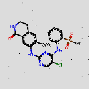 COc1cc2c(cc1Nc1ncc(Cl)c(Nc3ccccc3S(=O)(=O)C(C)C)n1)C(=O)NCC2